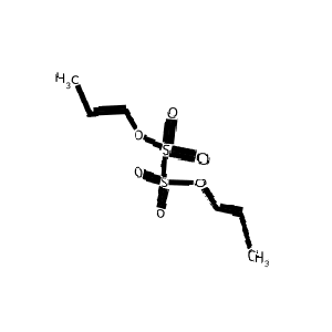 CC=COS(=O)(=O)S(=O)(=O)OC=CC